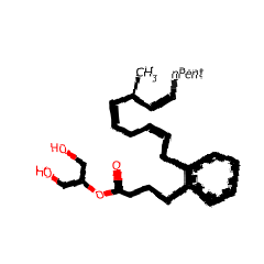 CCCCC/C=C\[C@H](C)/C=C\C/C=C\Cc1ccccc1CCCC(=O)OC(CO)CO